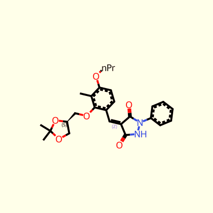 CCCOc1ccc(/C=C2/C(=O)NN(c3ccccc3)C2=O)c(OC[C@H]2COC(C)(C)O2)c1C